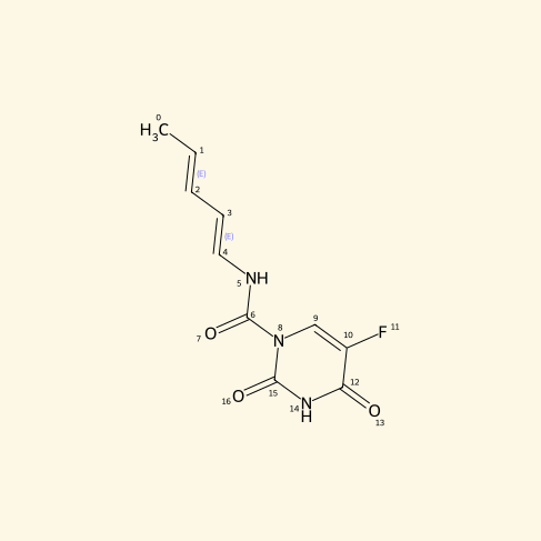 C/C=C/C=C/NC(=O)n1cc(F)c(=O)[nH]c1=O